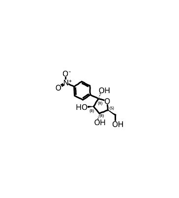 O=[N+]([O-])c1ccc([C@@]2(O)O[C@@H](CO)[C@H](O)[C@H]2O)cc1